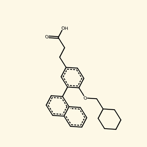 O=C(O)CCc1ccc(OCC2CCCCC2)c(-c2cccc3ccccc23)c1